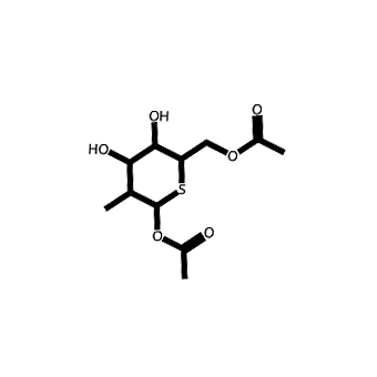 CC(=O)OCC1SC(OC(C)=O)C(C)C(O)C1O